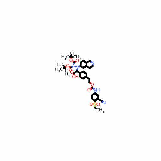 CCS(=O)(=O)c1ccc(NC(=O)OCCc2ccc(C(C(=O)O)N(c3ccc4cnccc4c3)N(C(=O)OC(C)(C)C)C(=O)OC(C)(C)C)cc2)cc1C#N